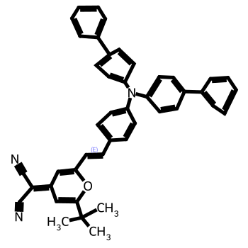 CC(C)(C)C1=CC(=C(C#N)C#N)C=C(/C=C/c2ccc(N(c3ccc(-c4ccccc4)cc3)c3ccc(-c4ccccc4)cc3)cc2)O1